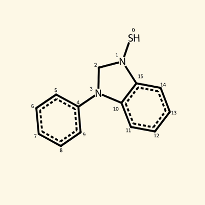 SN1CN(c2ccccc2)c2ccccc21